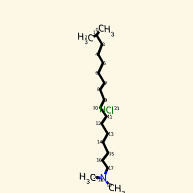 CC(C)CCCCCCCCCCCCCCCN(C)C.Cl